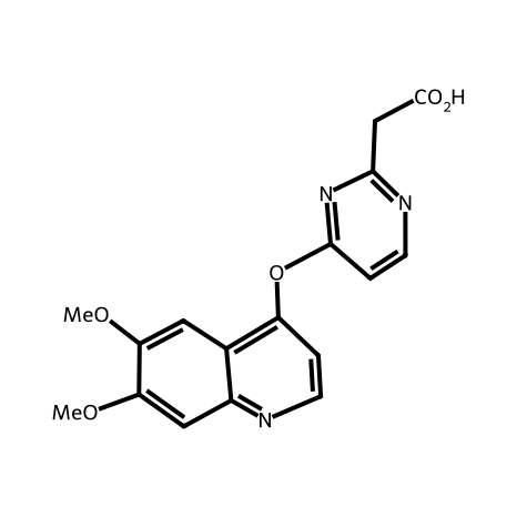 COc1cc2nccc(Oc3ccnc(CC(=O)O)n3)c2cc1OC